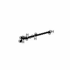 CC(=O)CC[C@H](NC(=O)CCC(=O)NCCOCCOCCNC(=O)CCCCCCCCCCCCCCC(=O)O)C(=O)O